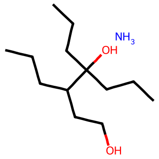 CCCC(CCO)C(O)(CCC)CCC.N